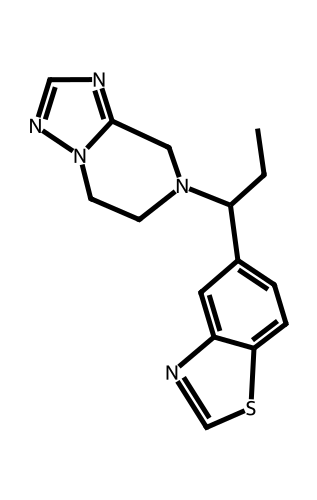 CCC(c1ccc2scnc2c1)N1CCn2ncnc2C1